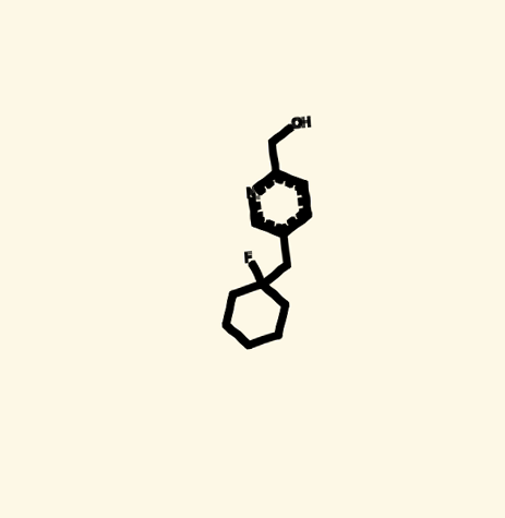 OCc1ccc(CC2(F)CCCCC2)cn1